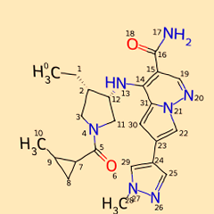 CC[C@H]1CN(C(=O)C2CC2C)C[C@H]1Nc1c(C(N)=O)cnn2cc(-c3cnn(C)c3)cc12